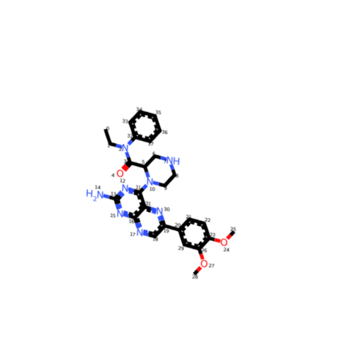 CCN(C(=O)C1CNCCN1c1nc(N)nc2ncc(-c3ccc(OC)c(OC)c3)nc12)c1ccccc1